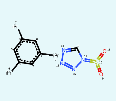 CC(C)c1cc(C(C)C)cc(C(C)C)c1.O=S(=O)=[N+]1C=NN=N1